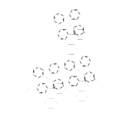 [O-]B([O-])[O-].c1ccc([N+](c2ccccc2)(c2ccccc2)c2cccc(C3CCCCC3)c2C2CCCCC2)cc1.c1ccc([N+](c2ccccc2)(c2ccccc2)c2cccc(C3CCCCC3)c2C2CCCCC2)cc1.c1ccc([N+](c2ccccc2)(c2ccccc2)c2cccc(C3CCCCC3)c2C2CCCCC2)cc1